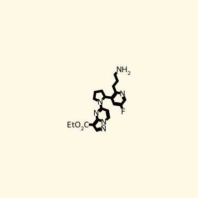 CCOC(=O)c1cnn2ccc(N3CCCC3c3cc(F)cnc3CCCN)nc12